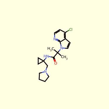 CC(C)(C(=O)NC1(CN2CCCC2)CC1)n1ccc2c(Cl)ccnc21